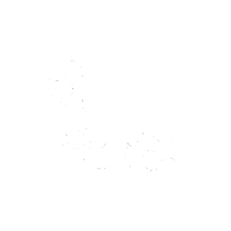 c1cc2ccc3cc(-c4ccc5oc6ccc(-c7cc8ccc9cccc%10ccc(c7)c8c9%10)cc6c5c4)cc4ccc(c1)c2c34